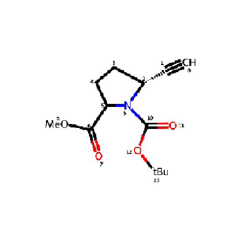 C#C[C@H]1CCC(C(=O)OC)N1C(=O)OC(C)(C)C